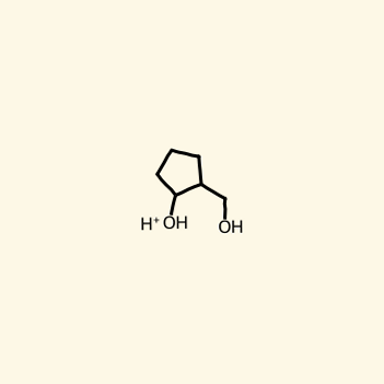 OCC1CCCC1O.[H+]